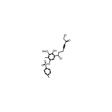 CCSC(=O)C#CCCC(CC)c1cc(OS(=O)(=O)c2ccc(C)cc2)c(C)c(OC)c1O